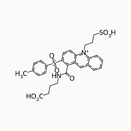 Cc1ccc(S(=O)(=O)c2ccc3c(cc4ccccc4[n+]3CCCS(=O)(=O)O)c2C(=O)NCCCC(=O)O)cc1